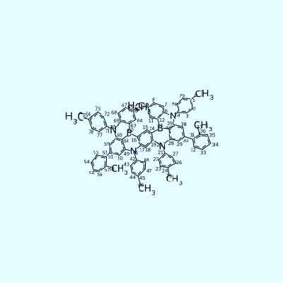 Cc1ccc(N2c3ccc(C)cc3B3c4cc5c(cc4N(c4ccc(C)cc4)c4cc(-c6ccccc6C)cc2c43)N(c2ccc(C)cc2)c2cc(-c3ccccc3C)cc3c2B5c2cc(C)ccc2N3c2ccc(C)cc2)cc1